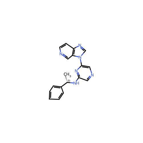 C[C@H](Nc1cncc(-n2cnc3ccncc32)n1)c1ccccc1